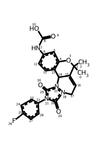 CC1(C)Oc2cc(NC(=O)O)ccc2C2C1=CCn1c(=O)n(-c3ccc(F)cc3)c(=O)n12